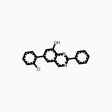 Oc1cc(-c2ccccc2Cl)cc2cnc(-c3ccccc3)nc12